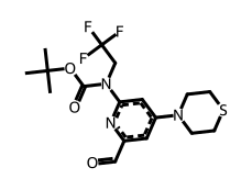 CC(C)(C)OC(=O)N(CC(F)(F)F)c1cc(N2CCSCC2)cc(C=O)n1